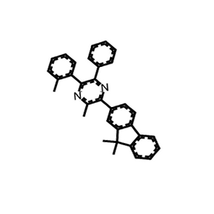 Cc1ccccc1-c1nc(C)c(-c2ccc3c(c2)C(C)(C)c2ccccc2-3)nc1-c1ccccc1